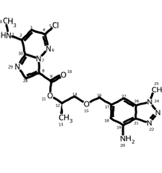 CNc1cc(Cl)nn2c(C(=O)O[C@H](C)COCc3cc(N)c4nnn(C)c4c3)cnc12